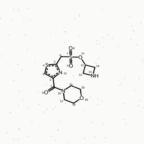 O=C(c1csc(CS(=O)(=O)OC2CNC2)n1)N1CCOCC1